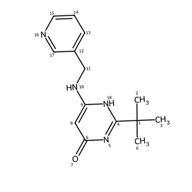 CC(C)(C)c1nc(=O)cc(NCc2cccnc2)[nH]1